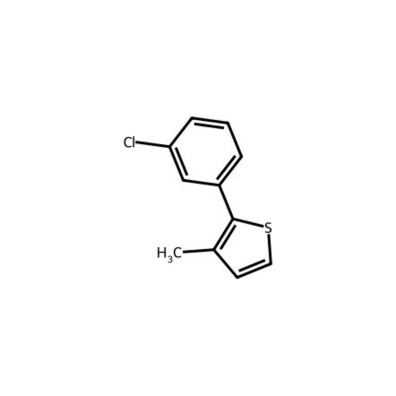 Cc1ccsc1-c1cccc(Cl)c1